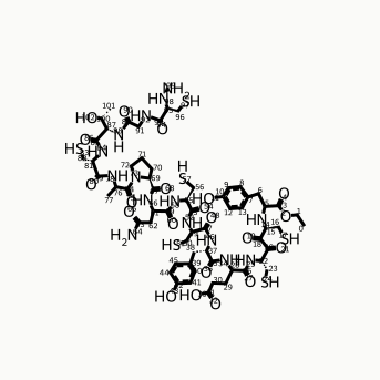 CCOC(=O)C(Cc1ccc(O)cc1)N[C@@H](CS)C(=O)C(=O)[C@H](CS)NC(=O)C(CCC(=O)O)NC(=O)[C@H](Cc1ccc(O)cc1)NC(=O)C(CS)NC(=O)[C@H](CS)NC(=O)C(CC(N)=O)NC(=O)[C@@H]1CCCN1C(=O)C(C)NC(=O)[C@H](CS)NC(=O)[C@@H](NC(=O)CNC(=O)[C@H](CS)NN)[C@@H](C)O